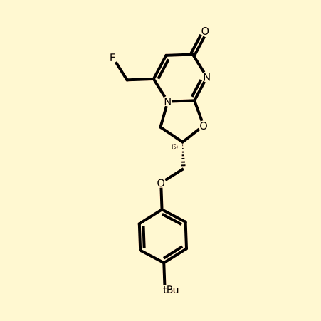 CC(C)(C)c1ccc(OC[C@@H]2Cn3c(CF)cc(=O)nc3O2)cc1